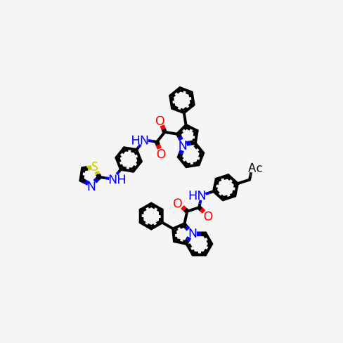 CC(=O)Cc1ccc(NC(=O)C(=O)c2c(-c3ccccc3)cc3ccccn23)cc1.O=C(Nc1ccc(Nc2nccs2)cc1)C(=O)c1c(-c2ccccc2)cc2ccccn12